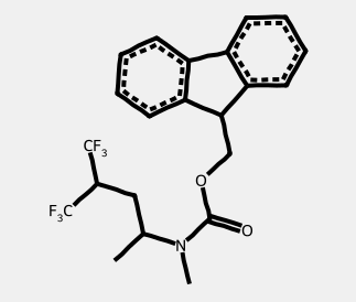 CC(CC(C(F)(F)F)C(F)(F)F)N(C)C(=O)OCC1c2ccccc2-c2ccccc21